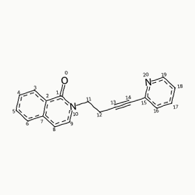 O=c1c2ccccc2ccn1CCC#Cc1ccccn1